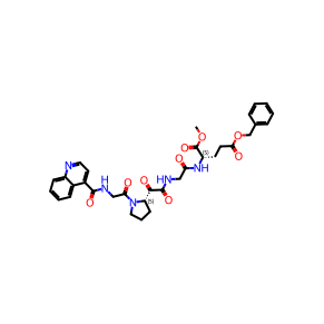 COC(=O)[C@H](CCC(=O)OCc1ccccc1)NC(=O)CNC(=O)C(=O)[C@@H]1CCCN1C(=O)CNC(=O)c1ccnc2ccccc12